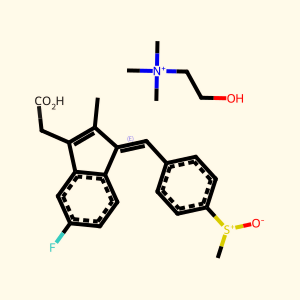 CC1=C(CC(=O)O)c2cc(F)ccc2/C1=C\c1ccc([S+](C)[O-])cc1.C[N+](C)(C)CCO